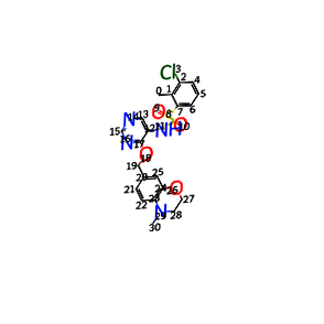 Cc1c(Cl)cccc1S(=O)(=O)Nc1cncnc1OCc1ccc2c(c1)OCCN2C